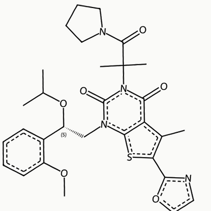 COc1ccccc1[C@@H](Cn1c(=O)n(C(C)(C)C(=O)N2CCCC2)c(=O)c2c(C)c(-c3ncco3)sc21)OC(C)C